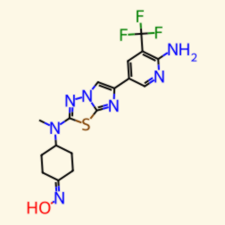 CN(c1nn2cc(-c3cnc(N)c(C(F)(F)F)c3)nc2s1)C1CCC(=NO)CC1